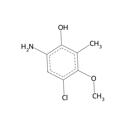 COc1c(Cl)cc(N)c(O)c1C